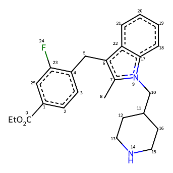 CCOC(=O)c1ccc(Cc2c(C)n(CC3CCNCC3)c3ccccc23)c(F)c1